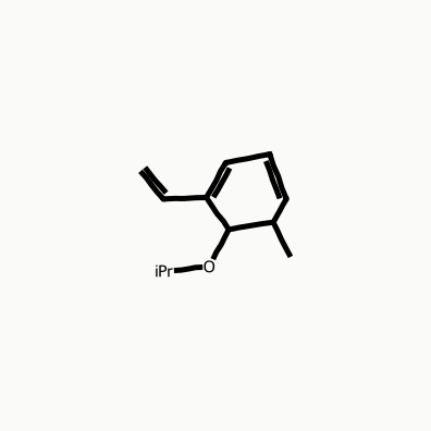 C=CC1=CC=CC(C)C1OC(C)C